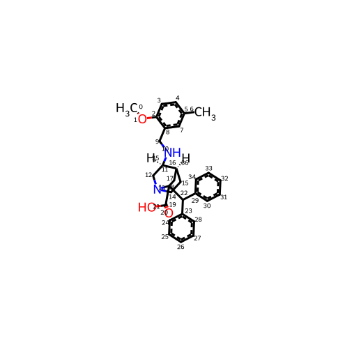 COc1ccc(C)cc1CN[C@@H]1CN2CC[C@H]1CC2(C(=O)O)C(c1ccccc1)c1ccccc1